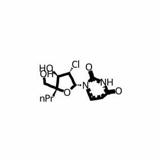 CCC[C@]1(CO)O[C@@H](n2ccc(=O)[nH]c2=O)[C@@H](Cl)[C@@H]1O